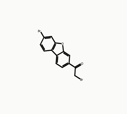 O=C(CBr)c1ccc2c(c1)oc1cc(Br)ccc12